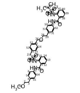 COCCc1ccc(NC(=O)c2ccccc2NS(=O)(=O)Cc2ccc(COCCc3ccc(NC(=O)c4ccccc4NS(=O)(=O)C(C)C)cc3)cc2)cc1